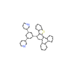 c1cncc(-c2cc(-c3cccnc3)cc(-c3cc4c5ccccc5c5ccccc5c4c4sc5ccccc5c34)c2)c1